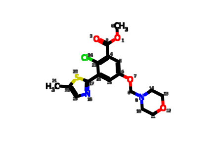 COC(=O)c1cc(OCN2CCOCC2)cc(-c2ncc(C)s2)c1Cl